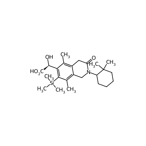 Cc1c2c(c(C)c([Si](C)(C)C)c1[C@H](O)C(=O)O)CN(C1CCCCC1(C)C)C(=O)C2